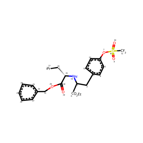 CCOC(=O)C(Cc1ccc(OS(=O)(=O)C(F)(F)F)cc1)N[C@@H](CC(C)C)C(=O)OCc1ccccc1